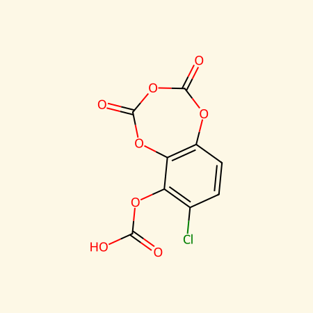 O=C(O)Oc1c(Cl)ccc2c1OC(=O)OC(=O)O2